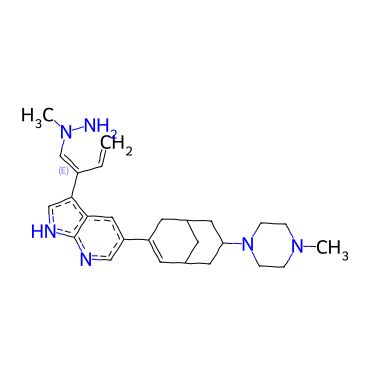 C=C/C(=C\N(C)N)c1c[nH]c2ncc(C3=CC4CC(C3)CC(N3CCN(C)CC3)C4)cc12